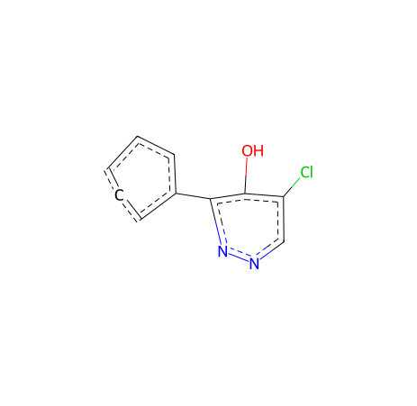 Oc1c(Cl)cnnc1-c1ccccc1